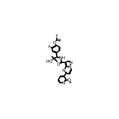 COc1ncccc1-c1ccn2ncc(C(=O)NC(c3ccc(OC(F)F)c(F)c3)C(C)(C)O)c2n1